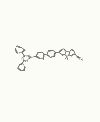 CC1(C)c2cc(C#N)ccc2-c2ccc(-c3ccc(-c4ccc(-c5nc(-c6ccccc6)nc(-c6ccccc6)n5)cc4)cc3)cc21